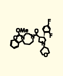 COC(=O)N1CCN(C(=O)[C@@H]2CN(C3CCOCC3)C[C@H]2c2ccc(F)cc2F)CCCC1c1ccccc1